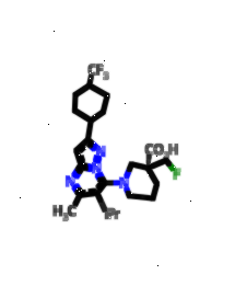 Cc1nc2cc(C3CCC(C(F)(F)F)CC3)nn2c(N2CCC[C@](CF)(C(=O)O)C2)c1C(C)C